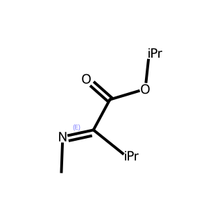 C/N=C(/C(=O)OC(C)C)C(C)C